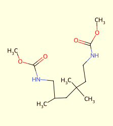 COC(=O)NCCC(C)(C)CC(C)CNC(=O)OC